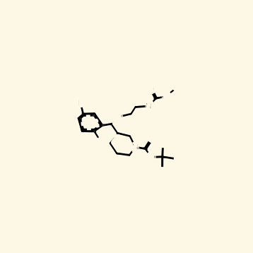 COC(=O)NCCO[C@@H](c1cc(F)ccc1F)[C@@H]1CCCN(C(=O)OC(C)(C)C)C1